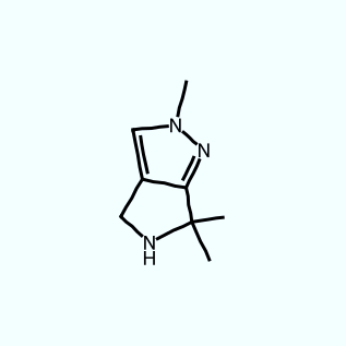 Cn1cc2c(n1)C(C)(C)NC2